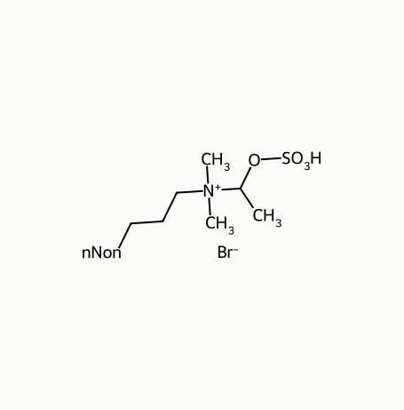 CCCCCCCCCCCC[N+](C)(C)C(C)OS(=O)(=O)O.[Br-]